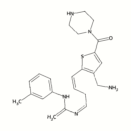 C=C(/N=C\C/C=C\c1sc(C(=O)N2CCNCC2)cc1CN)Nc1cccc(C)c1